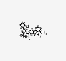 Cc1cc(-c2ncc(CN3C=C(c4ccccc4Cl)SC3C(N)=O)cc2C)ccn1